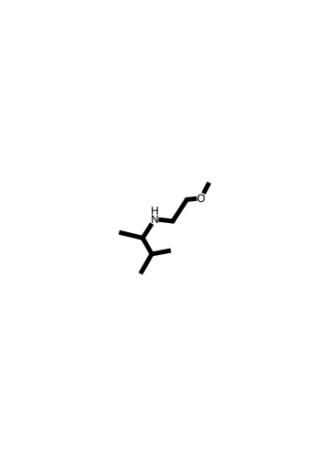 COCCNC(C)C(C)C